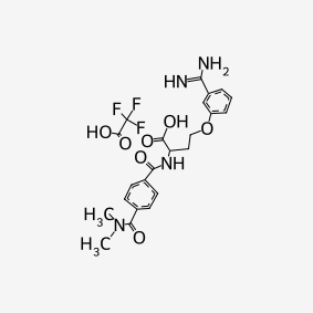 CN(C)C(=O)c1ccc(C(=O)NC(CCOc2cccc(C(=N)N)c2)C(=O)O)cc1.O=C(O)C(F)(F)F